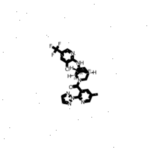 Cc1cnc(-n2nccn2)c(C(=O)N2C[C@@H]3CC[C@H]2[C@H](Nc2ncc(C(F)(F)F)cc2Cl)C3)c1